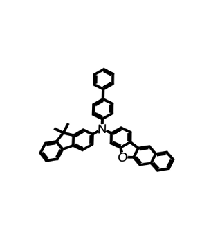 CC1(C)c2ccccc2-c2ccc(N(c3ccc(-c4ccccc4)cc3)c3ccc4c(c3)oc3cc5ccccc5cc34)cc21